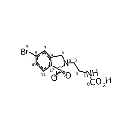 O=C(O)NCCN1Cc2cc(Br)ccc2S1(=O)=O